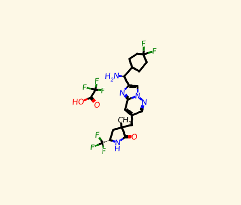 CC1(Cc2cnn3cc([C@@H](N)C4CCC(F)(F)CC4)nc3c2)C[C@@H](C(F)(F)F)NC1=O.O=C(O)C(F)(F)F